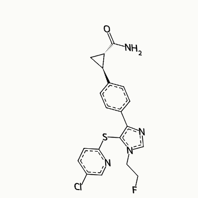 NC(=O)[C@H]1C[C@@H]1c1ccc(-c2ncn(CCF)c2Sc2ccc(Cl)cn2)cc1